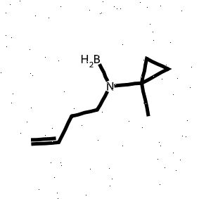 BN(CCC=C)C1(C)CC1